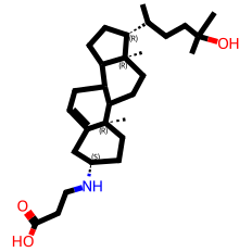 CC(CCC(C)(C)O)[C@H]1CCC2C3CC=C4C[C@@H](NCCC(=O)O)CC[C@]4(C)C3CC[C@@]21C